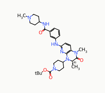 C[C@@H]1C(=O)N(C)c2ccc(Nc3cccc(C(=O)NC4CCN(C)CC4)c3)nc2N1C1CCN(C(=O)OC(C)(C)C)CC1